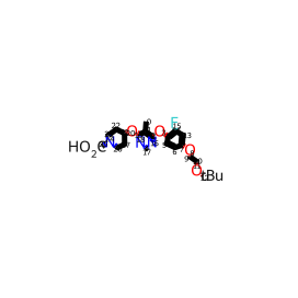 Cc1c(Oc2ccc(OCCOC(C)(C)C)cc2F)ncnc1OC1CCN(C(=O)O)CC1